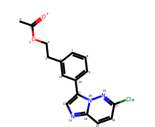 CC(=O)OCCc1cccc(-c2cnc3ccc(Cl)nn23)c1